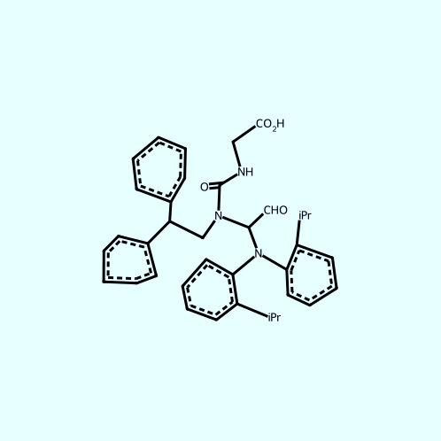 CC(C)c1ccccc1N(c1ccccc1C(C)C)C(C=O)N(CC(c1ccccc1)c1ccccc1)C(=O)NCC(=O)O